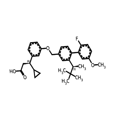 COc1ccc(F)c(-c2ccc(COc3cccc([C@H](CC(=O)O)C4CC4)c3)cc2[C@@H](C)C(C)(C)C)c1